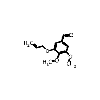 C=CCOc1cc(C=O)cc(OC)c1OC